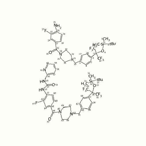 CC(C)(C)[Si](C)(C)OC(c1ccc(CN2CCN(C(=O)c3ccc(N)c(F)c3)CC2)cc1)(C(F)(F)F)C(F)(F)F.CC(C)(C)[Si](C)(C)OC(c1ccc(CN2CCN(C(=O)c3ccc(NC(=O)Nc4ccccn4)c(F)c3)CC2)cc1)(C(F)(F)F)C(F)(F)F